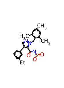 CCc1cccc(-c2cnn(Cc3c(C)cc(C)cc3C)c2C(=O)N=S(=O)=O)c1